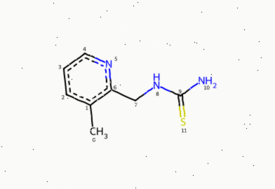 Cc1cccnc1CNC(N)=S